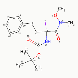 CON(C)C(=O)[C@](I)(CCc1ccccc1)NC(=O)OC(C)(C)C